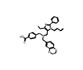 CCCCn1c(-c2ccccc2)nc(CC)c1CN(Cc1ccc(C(=O)O)cc1)Cc1ccc2c(c1)OCCO2